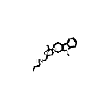 CCCNCCC[N+]1(C(C)=O)CCc2c(n(C)c3ccccc23)C1